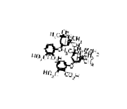 CC1(C)CC(Oc2cccc(C(=O)O)c2C(=O)O)CC(C)(C)N1.CC1(C)CC(Oc2cccc(C(=O)O)c2C(=O)O)CC(C)(C)N1.[MgH2]